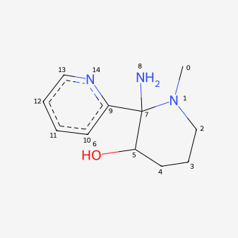 CN1CCCC(O)C1(N)c1ccccn1